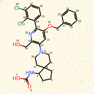 O=C(O)NC1CCCC12CCN(c1cc(OCc3ccccc3)c(-c3cccc(Cl)c3Cl)nc1CO)CC2